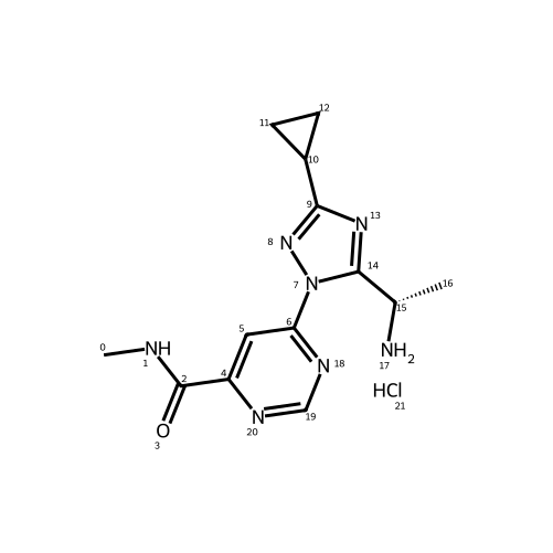 CNC(=O)c1cc(-n2nc(C3CC3)nc2[C@H](C)N)ncn1.Cl